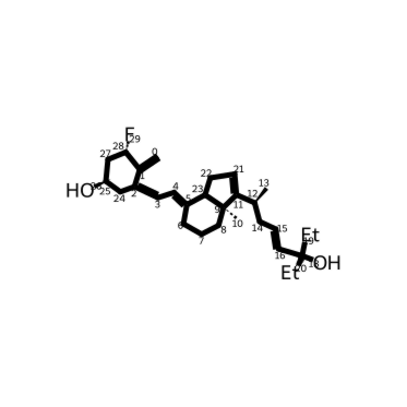 C=C1/C(=C\C=C2/CCC[C@]3(C)C([C@@H](C)C/C=C/C(O)(CC)CC)=CCC23)C[C@@H](O)C[C@@H]1F